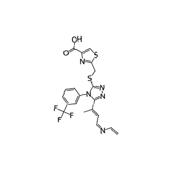 C=C/N=C\C=C(/C)c1nnc(SCc2nc(C(=O)O)cs2)n1-c1cccc(C(F)(F)F)c1